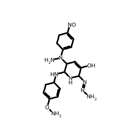 NN=NC1NC(NC2C=CC(ON)=CC2)C(N(N)C2=CC=C(N=O)CC2)C=C1O